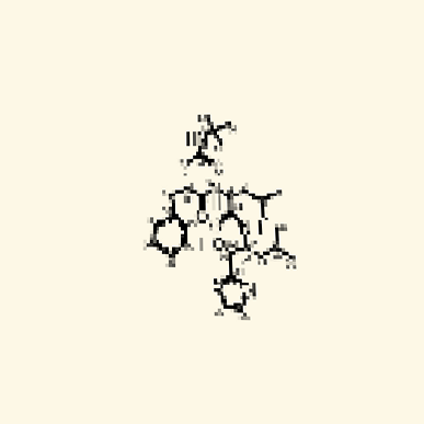 CC(C)C[C@H](NC(=O)[C@@H](CC(=O)NC(C)(C)C)Cc1ccccc1)C(=O)N[C@@H](CC(C)C)[C@@H](O)c1nccs1